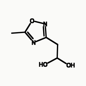 Cc1nc(CC(O)O)no1